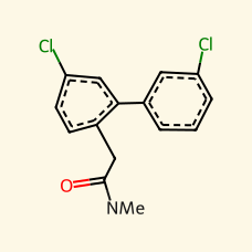 CNC(=O)Cc1ccc(Cl)cc1-c1cccc(Cl)c1